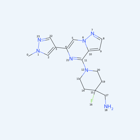 Cn1cc(-c2cn3nccc3c(N3CCC(F)(CN)CC3)n2)cn1